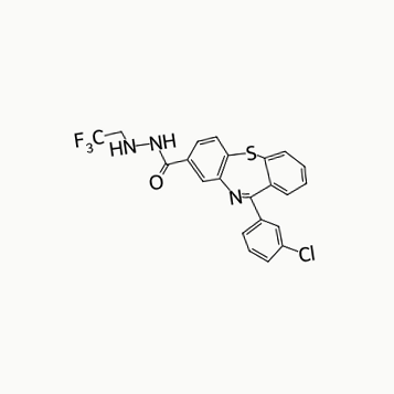 O=C(NNCC(F)(F)F)c1ccc2c(c1)N=C(c1cccc(Cl)c1)c1ccccc1S2